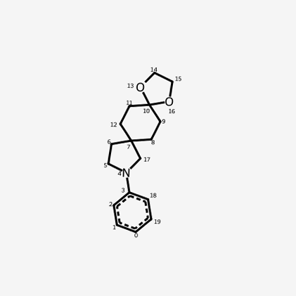 c1ccc(N2CCC3(CCC4(CC3)OCCO4)C2)cc1